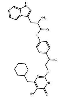 CC(C)c1c(CC2CCCCC2)nc(SCC(=O)c2ccc(OC(=O)C(N)Cc3c[nH]c4ccccc34)cc2)[nH]c1=O